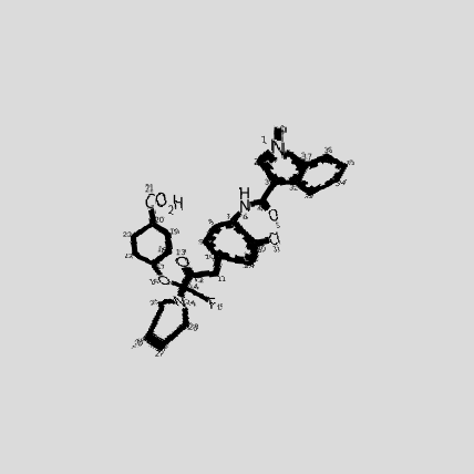 Cn1cc(C(=O)Nc2ccc(CC(=O)C(F)(OC3CCC(C(=O)O)CC3)N3CCCC3)cc2Cl)c2ccccc21